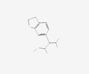 CCNC(C)C(c1ccc2c(c1)SCC2)C(F)F